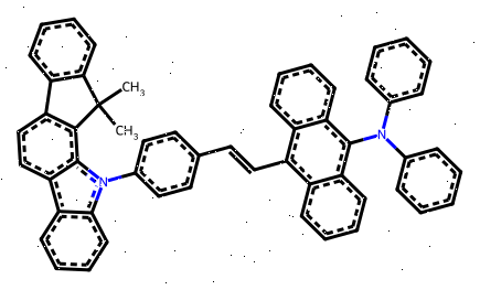 CC1(C)c2ccccc2-c2ccc3c4ccccc4n(-c4ccc(/C=C/c5c6ccccc6c(N(c6ccccc6)c6ccccc6)c6ccccc56)cc4)c3c21